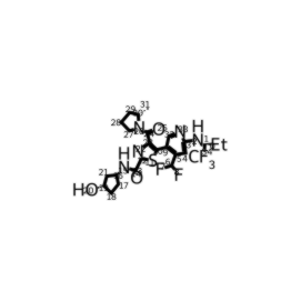 CC[C@H](Nc1cc(C(F)F)c(-c2sc(C(=O)N[C@H]3CC[C@H](O)C3)nc2C(=O)N2CCC[C@@H]2C)cn1)C(F)(F)F